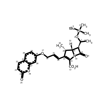 CC(O[Si](C)(C)C(C)(C)C)[C@H]1C(=O)N2C(C(=O)O)=C(/C=C/COc3ccc4ccc(=O)oc4c3)[C@H](C)[C@H]12